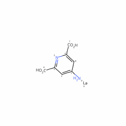 Nc1cc(C(=O)O)nc(C(=O)O)c1.[La]